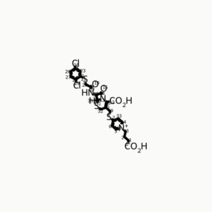 O=C(O)CCC[n+]1ccc(SCC2=C(C(=O)O)N3C(=O)[C@H](NC(=O)CSc4cc(Cl)ccc4Cl)[C@H]3SC2)cc1